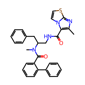 Cc1nc2sccn2c1C(=O)NCC(Cc1ccccc1)N(C)C(=O)c1ccccc1-c1ccccc1